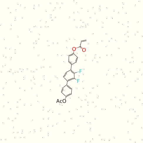 C=CC(=O)Oc1ccc(-c2ccc(-c3ccc(OC(C)=O)cc3)c(F)c2F)cc1